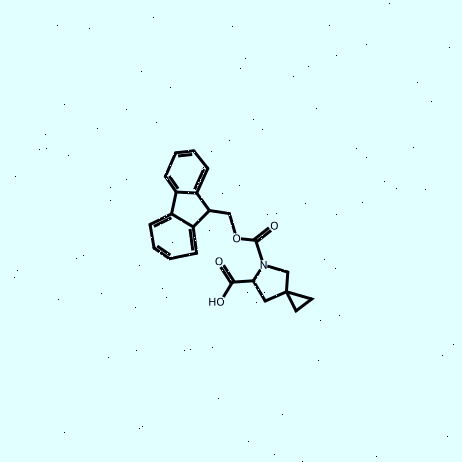 O=C(O)C1CC2(CC2)CN1C(=O)OCC1c2ccccc2-c2ccccc21